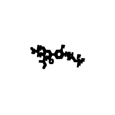 CCC(C)n1c(=O)c(-c2ccc(NSCCC(F)(F)F)c(F)c2)cc2cnc(SC)nc21